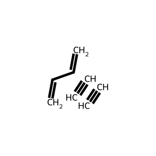 C#C.C#C.C=CC=C